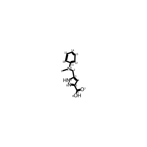 CN(Cc1cc(C(=O)O)n[nH]1)c1ccccc1